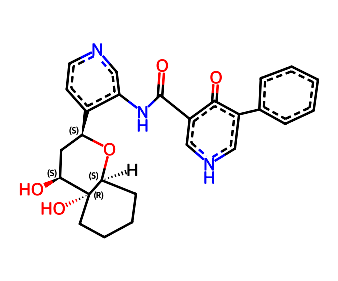 O=C(Nc1cnccc1[C@@H]1C[C@H](O)[C@]2(O)CCCC[C@@H]2O1)c1c[nH]cc(-c2ccccc2)c1=O